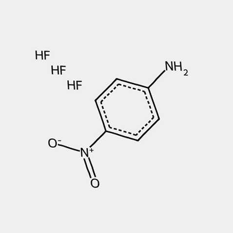 F.F.F.Nc1ccc([N+](=O)[O-])cc1